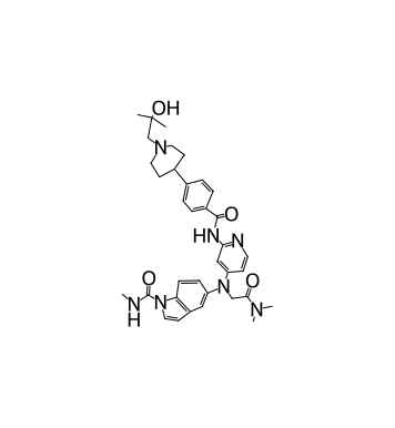 CNC(=O)n1ccc2cc(N(CC(=O)N(C)C)c3ccnc(NC(=O)c4ccc(C5CCN(CC(C)(C)O)CC5)cc4)c3)ccc21